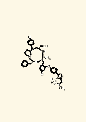 C[C@H]1CN[C@H](CO)CN[C@@]2(Cc3ccc(Cl)cc3)CCCN(C[C@H](Cc3ccccc3)CCN1Cc1ccc(Cl)cc1Oc1ccc(-c3nnc(CN(C)C)n3C)cc1)C2